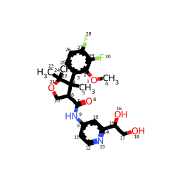 COc1c(C2(C)C(C(=O)Nc3ccnc(C(O)CO)c3)COC2(C)C)ccc(F)c1F